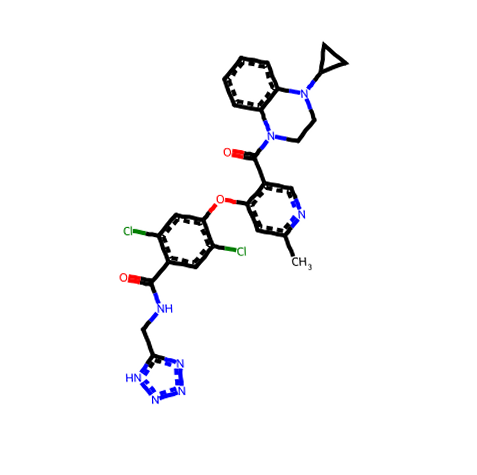 Cc1cc(Oc2cc(Cl)c(C(=O)NCc3nnn[nH]3)cc2Cl)c(C(=O)N2CCN(C3CC3)c3ccccc32)cn1